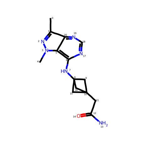 Cc1nn(C)c2c(NC34CC(CC(N)=O)(C3)C4)ncnc12